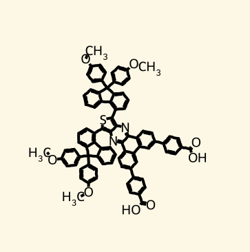 COc1ccc(C2(c3ccc(OC)cc3)c3ccccc3-c3c(-c4sc(-c5cccc6c5-c5ccccc5C6(c5ccc(OC)cc5)c5ccc(OC)cc5)c5nc6c7ccc(-c8ccc(C(=O)O)cc8)cc7c7cc(-c8ccc(C(=O)O)cc8)ccc7c6nc45)cccc32)cc1